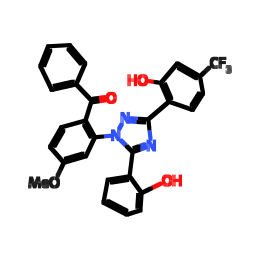 COc1ccc(C(=O)c2ccccc2)c(-n2nc(-c3ccc(C(F)(F)F)cc3O)nc2-c2ccccc2O)c1